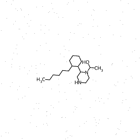 CCCCCCC1CCCCC1C1CNCCN1C(C)O